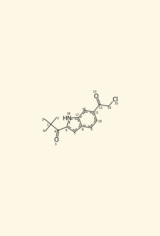 CC(C)(C)C(=O)c1cc2ccc(C(=O)CCl)cc2[nH]1